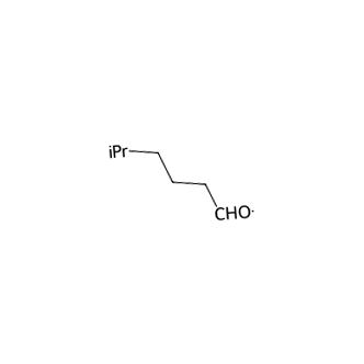 CC(C)CCC[C]=O